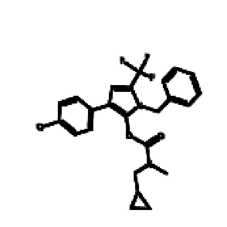 CN(CC1CC1)C(=O)Oc1c(-c2ccc(Cl)cc2)cc(C(F)(F)F)n1Cc1ccccc1